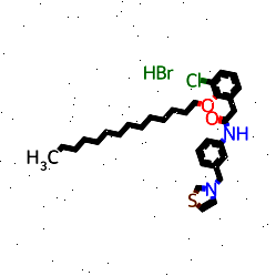 Br.CCCCCCCCCCCCCCOc1c(Cl)cccc1CC(=O)Nc1cccc(CN2C=CSC2)c1